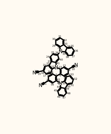 N#Cc1ccc(-c2ccc(C#N)cc2-n2c3ccc(C#N)cc3c3ccc(-n4c5ccccc5c5ccccc54)cc32)c(-n2c3ccccc3c3ccccc32)c1